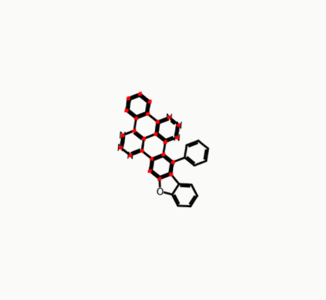 c1ccc(-c2ccccc2-c2c(-c3ccccc3)nnnc2-c2cc3oc4ccccc4c3c(-c3ccccc3)c2-c2nnnc(-c3ccccc3)c2-c2ccccc2-c2ccccc2)cc1